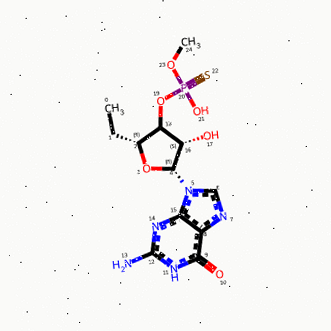 CC[C@H]1O[C@@H](n2cnc3c(=O)[nH]c(N)nc32)[C@@H](O)C1OP(O)(=S)OC